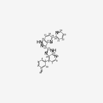 Fc1cccc(-c2ccnc3[nH]c(-c4n[nH]c5ccc(-c6ccccn6)nc45)nc23)c1